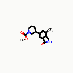 CC(C)(C)OC(=O)N1CCCC(c2cc3c(c(C(F)(F)F)c2)CNC3=O)C1